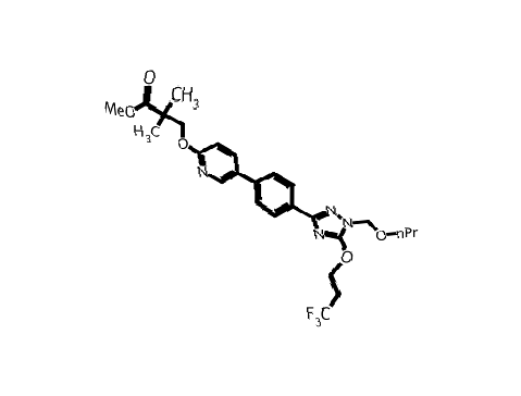 CCCOCn1nc(-c2ccc(-c3ccc(OCC(C)(C)C(=O)OC)nc3)cc2)nc1OCCC(F)(F)F